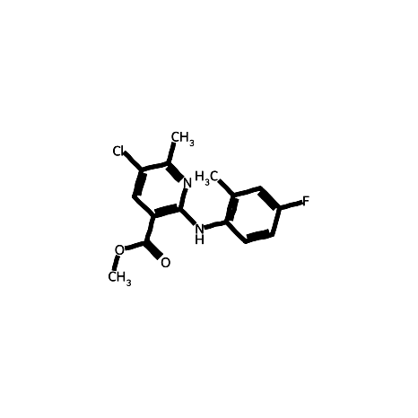 COC(=O)c1cc(Cl)c(C)nc1Nc1ccc(F)cc1C